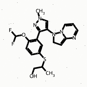 CC(CO)Sc1ccc(OC(F)F)c(-c2nn(C)cc2N2CC=C3N=CC=CN32)c1